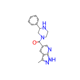 Cc1n[nH]c2ncc(C(=O)N3CCNC(c4ccccc4)C3)cc12